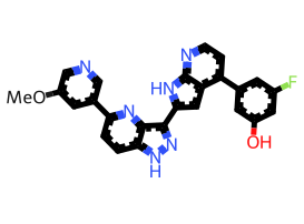 COc1cncc(-c2ccc3[nH]nc(-c4cc5c(-c6cc(O)cc(F)c6)ccnc5[nH]4)c3n2)c1